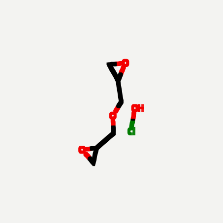 C(OCC1CO1)C1CO1.OCl